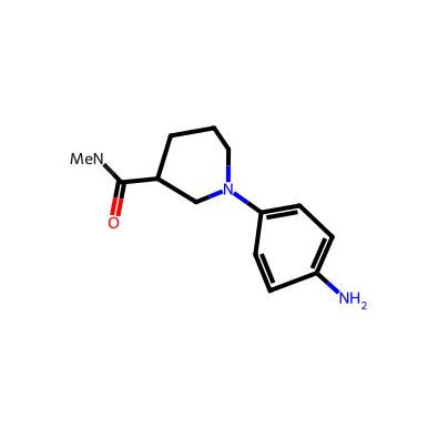 CNC(=O)C1CCCN(c2ccc(N)cc2)C1